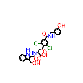 O=C(NCc1cccc(O)c1)c1cc(Cl)c(C(=O)C[C@H](NC(=O)c2[nH]c3ccccc3c2CO)C(=O)O)c(Cl)c1